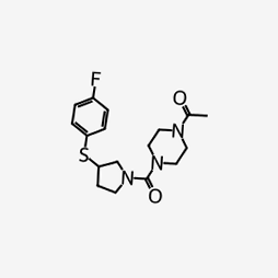 CC(=O)N1CCN(C(=O)N2CCC(Sc3ccc(F)cc3)C2)CC1